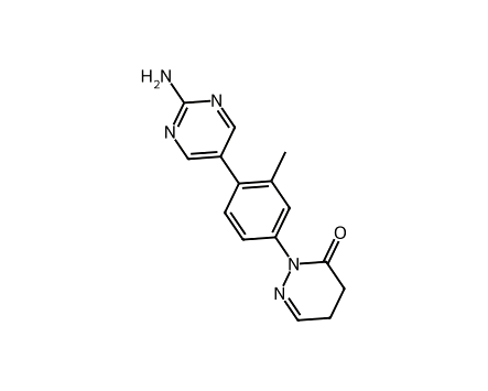 Cc1cc(N2N=CCCC2=O)ccc1-c1cnc(N)nc1